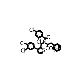 O=C(O)C(Cc1ccccc1)N(Cc1sccc1-c1ccc(Cl)c(Cl)c1)C(=O)c1ccc(Cl)cc1Cl